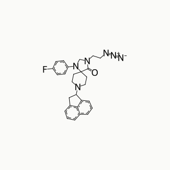 [N-]=[N+]=NCCN1CN(c2ccc(F)cc2)C2(CCN(C3Cc4cccc5cccc3c45)CC2)C1=O